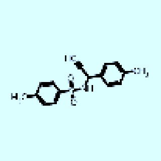 C#CC(NS(=O)(=O)c1ccc(C)cc1)c1ccc(C)cc1